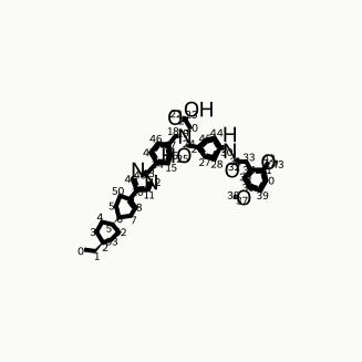 CC[C@H]1CC[C@H](C2CC=C(c3cnc(-c4ccc(CN(CC(=O)O)C(O)c5ccc(NC(=O)Cc6cc(OC)ccc6OC)cc5)cc4)nc3)CC2)CC1